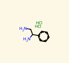 Cl.Cl.NCC(N)c1ccccc1